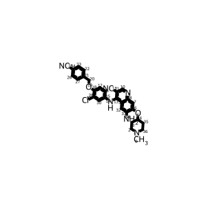 CN1CCC(Oc2cc3ncc(C#N)c(Nc4ccc(OCc5ccc(C#N)cc5)c(Cl)c4)c3cc2N)CC1